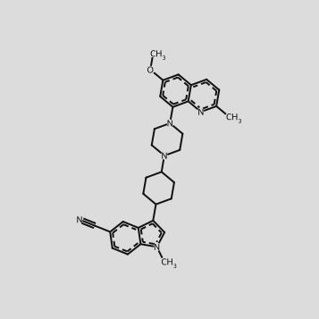 COc1cc(N2CCN(C3CCC(c4cn(C)c5ccc(C#N)cc45)CC3)CC2)c2nc(C)ccc2c1